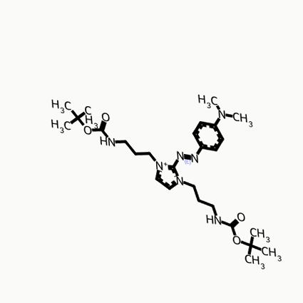 CN(C)c1ccc(/N=N/c2n(CCCNC(=O)OC(C)(C)C)cc[n+]2CCCNC(=O)OC(C)(C)C)cc1